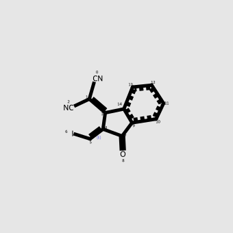 N#CC(C#N)=C1/C(=C\I)C(=O)c2ccccc21